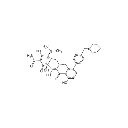 CN(C)[C@@H]1C(O)=C(C(N)=O)C(=O)[C@@]2(O)C(O)=C3C(=O)c4c(O)ccc(-c5ccc(CN6CCCCC6)cc5)c4CC3CC12